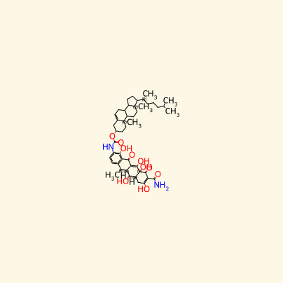 CC(C)CCC[C@@H](C)C1CCC2C3CC=C4CC(OC(=O)Nc5ccc6c(c5O)C(=O)C5=C(O)[C@]7(O)C(=O)C(C(N)=O)=C(O)C[C@@H]7[C@@H](O)[C@@H]5[C@H]6C)CC[C@]4(C)C3CC[C@@]21C